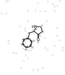 O=C1CCNC1Cc1ccccc1